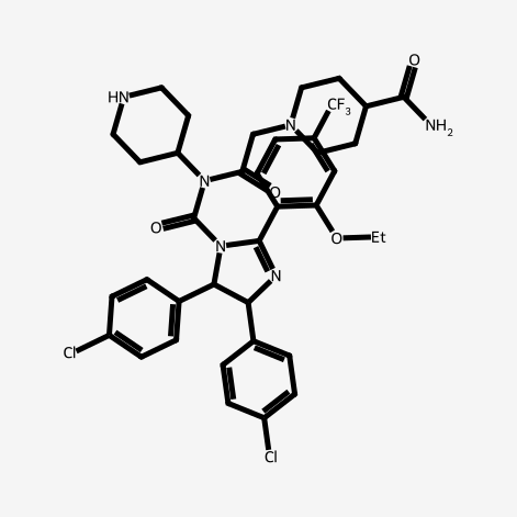 CCOc1cc(C(F)(F)F)ccc1C1=NC(c2ccc(Cl)cc2)C(c2ccc(Cl)cc2)N1C(=O)N(C(=O)CN1CCC(C(N)=O)CC1)C1CCNCC1